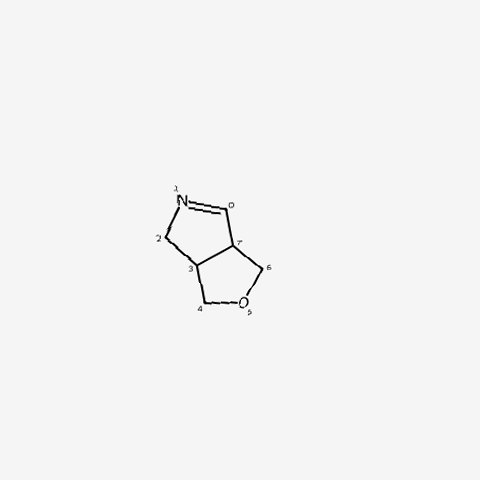 C1=NCC2COCC12